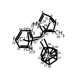 CC(C)(C)P(c1ccccn1)[C]12[CH]3[CH]4[CH]5[CH]1[Fe]45321678[CH]2[CH]1[CH]6[C]7(P(c1ccccn1)C(C)(C)C)[CH]28